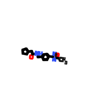 O=C(CC1CCCC1)NCc1ccc(-c2noc(C(F)(F)F)n2)cc1